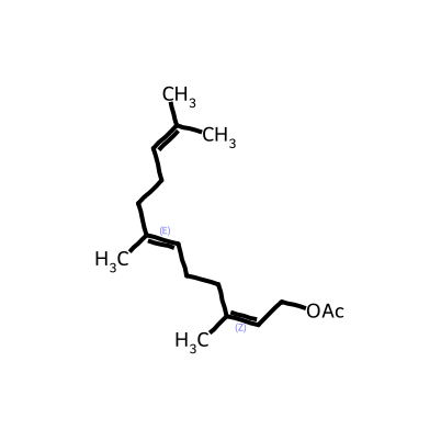 CC(=O)OC/C=C(/C)CC/C=C(\C)CCC=C(C)C